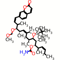 CC/C=C\C(C)[C@H](OC(N)=O)[C@@H](C)[C@H](O[Si](C)(C)C(C)(C)C)[C@@H](C)C/C(C)=C\[C@H](C)[C@@H](OCOC)C(C)/C=C\c1ccc2ccc(=O)oc2c1